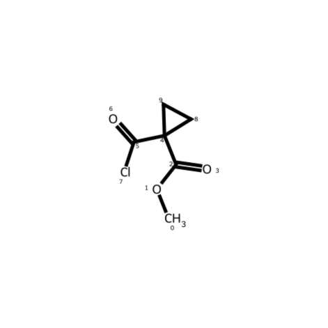 COC(=O)C1(C(=O)Cl)CC1